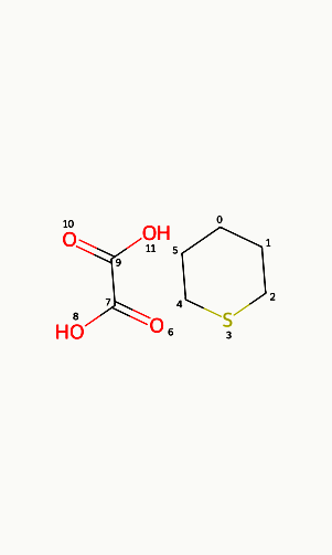 C1CCSCC1.O=C(O)C(=O)O